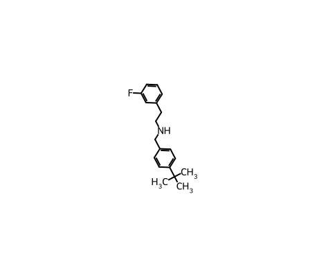 CC(C)(C)c1ccc(CNCCc2cccc(F)c2)cc1